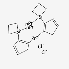 CCC[Si]1(C2=[C]([Zr+2][C]3=C([Si]4(CCC)CCC4)C=CC3)CC=C2)CCC1.[Cl-].[Cl-]